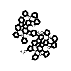 Cc1cccc(N(c2ccccc2)c2cc3c(c4c2oc2ccccc24)-c2c(cc(N(c4ccccc4)c4cccc(C)c4)c4c2oc2ccccc24)C32c3ccccc3-c3c(-c4ccc5c(c4)oc4c(N(c6ccccc6)c6ccccc6)cc6c(c45)-c4c(cc(N(c5ccccc5)c5ccccc5)c5c4oc4ccccc45)C64c5ccccc5-c5ccccc54)cccc32)c1